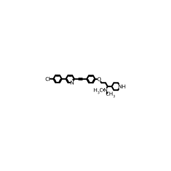 CN(C)C(CCOc1ccc(C#Cc2ccc(-c3ccc(Cl)cc3)cn2)cc1)C1CCNCC1